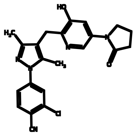 Cc1nn(-c2ccc(C#N)c(Cl)c2)c(C)c1Cc1ncc(N2CCCC2=O)cc1O